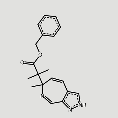 CC1(C(C)(C)C(=O)OCc2ccccc2)C=Cc2c[nH]nc2C=N1